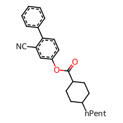 CCCCCC1CCC(C(=O)Oc2ccc(-c3ccccc3)c(C#N)c2)CC1